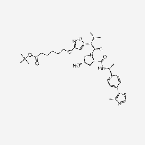 Cc1ncsc1-c1ccc([C@H](C)NC(=O)[C@@H]2C[C@@H](O)CN2C(=O)[C@@H](c2cc(OCCCCCC(=O)OC(C)(C)C)no2)C(C)C)cc1